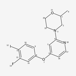 CC1CN(c2cc(Oc3ccc(I)c(F)c3)ccn2)CCO1